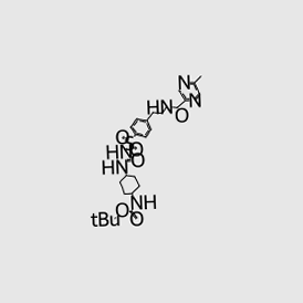 Cc1cnc(C(=O)NCCc2ccc(S(=O)(=O)NC(=O)NC3CCC(NC(=O)OC(C)(C)C)CC3)cc2)cn1